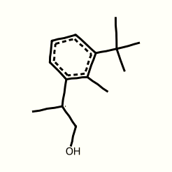 C[C](CO)c1cccc(C(C)(C)C)c1C